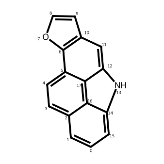 c1cc2ccc3c4occc4cc4[nH]c(c1)c2c43